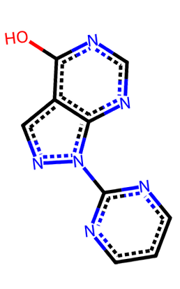 Oc1ncnc2c1cnn2-c1ncccn1